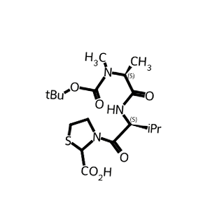 CC(C)[C@H](NC(=O)[C@H](C)N(C)C(=O)OC(C)(C)C)C(=O)N1CCSC1C(=O)O